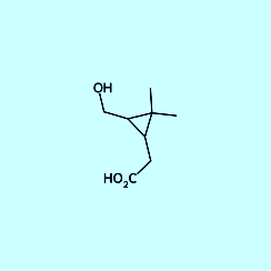 CC1(C)C(CO)C1CC(=O)O